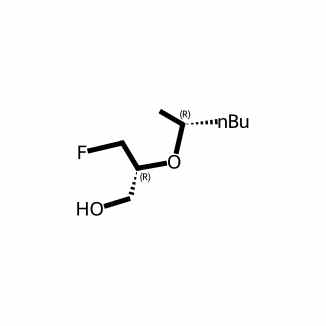 CCCC[C@@H](C)O[C@H](CO)CF